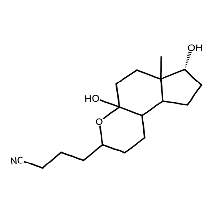 CC12CCC3(O)OC(CCCC#N)CCC3C1CC[C@H]2O